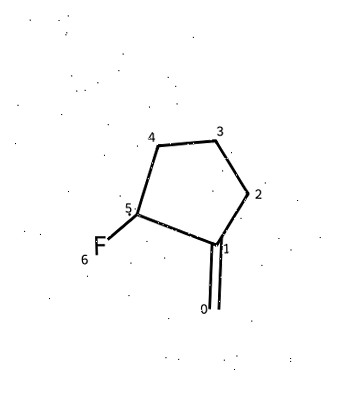 C=C1CCC[C]1F